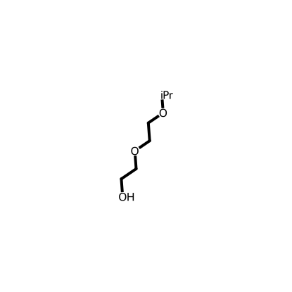 CC(C)OCCOCCO